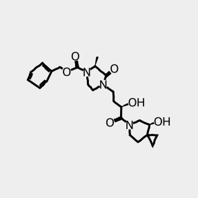 C[C@H]1C(=O)N(CC[C@@H](O)C(=O)N2CCC3(CC3)[C@H](O)C2)CCN1C(=O)OCc1ccccc1